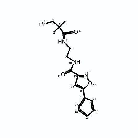 CC(C)CC(C)(C)C(=O)NCCNC(=O)c1cc(-c2ccccc2)on1